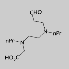 CCCN(CCC=O)CCN(CCC)CC(=O)O